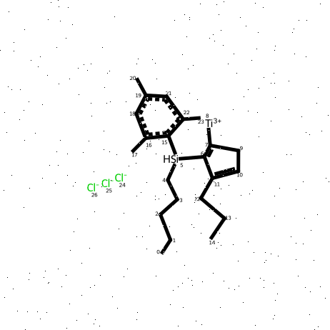 CCCCC[SiH](C1=[C]([Ti+3])CC=C1CCC)c1c(C)cc(C)cc1C.[Cl-].[Cl-].[Cl-]